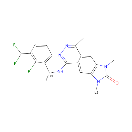 CCn1c(=O)n(C)c2cc3c(C)nnc(N[C@H](C)c4cccc(C(F)F)c4F)c3cc21